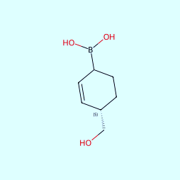 OC[C@@H]1C=CC(B(O)O)CC1